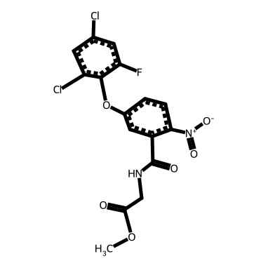 COC(=O)CNC(=O)c1cc(Oc2c(F)cc(Cl)cc2Cl)ccc1[N+](=O)[O-]